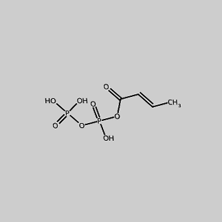 CC=CC(=O)OP(=O)(O)OP(=O)(O)O